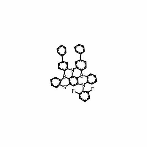 Fc1cccc(F)c1N1c2ccccc2B2c3ccc(-c4ccccc4)cc3N3c4cc(-c5ccccc5)ccc4B4c5ccccc5Sc5cc1c2c3c54